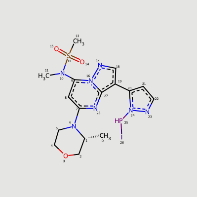 C[C@@H]1COCCN1c1cc(N(C)S(C)(=O)=O)n2ncc(-c3ccnn3PI)c2n1